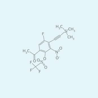 CC(=O)c1cc(F)c(C#C[Si](C)(C)C)c([N+](=O)[O-])c1OS(=O)(=O)C(F)(F)F